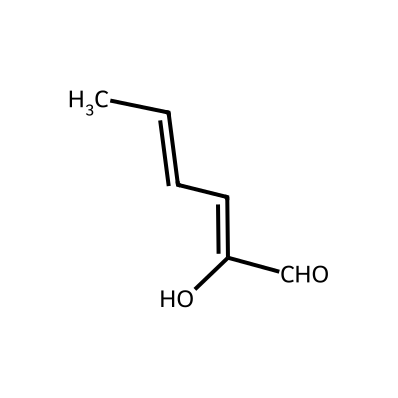 CC=CC=C(O)C=O